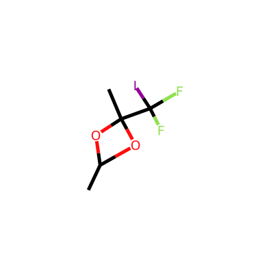 CC1OC(C)(C(F)(F)I)O1